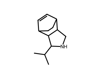 CC(C)C1NCC2C3C=CC(CC3)C21